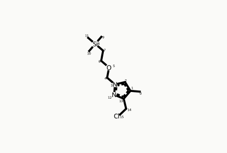 Cc1cn(COCC[Si](C)(C)C)nc1CCl